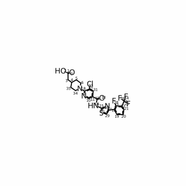 O=C(O)CC1CCN(c2ncc(C(=O)Nc3nc(-c4cccc(C(F)(F)F)c4F)cs3)cc2Cl)CC1